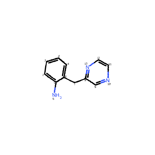 Nc1ccccc1Cc1cnccn1